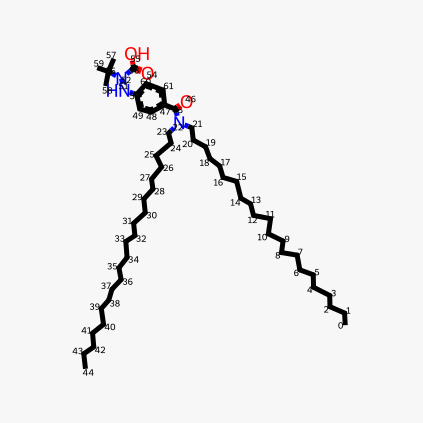 CCCCCCCCCCCCCCCCCCCCCCN(CCCCCCCCCCCCCCCCCCCCCC)C(=O)c1ccc(NN(C(=O)O)C(C)(C)C)cc1